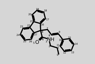 CCCNC(=O)C1(CC=Cc2ccccc2)c2ccccc2-c2ccccc21